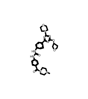 CN1CCN(C(=O)c2ccc(NC(=O)Nc3ccc(-c4nc(O[C@H]5CCOC5)nc(N5CCOCC5)n4)cc3)cc2)CC1